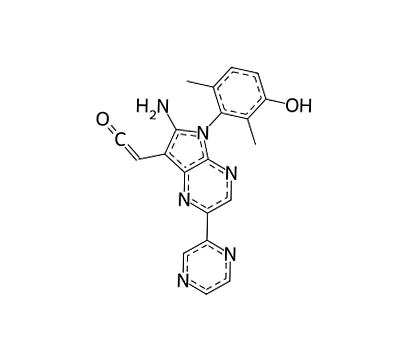 Cc1ccc(O)c(C)c1-n1c(N)c(C=C=O)c2nc(-c3cnccn3)cnc21